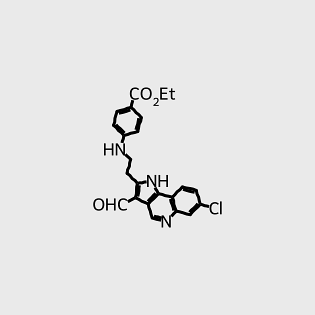 CCOC(=O)c1ccc(NCCc2[nH]c3c(cnc4cc(Cl)ccc43)c2C=O)cc1